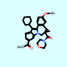 CCCCOc1ccc2c(c1)C1CC1(C(=O)N1CCOCC1)Cn1c-2c(C2CCCCC2)c2ccc(C(=O)OC)cc21